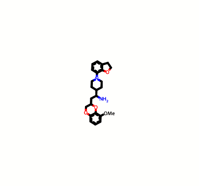 COc1cccc2c1OC(CC(N)C1CCN(c3cccc4c3OCC4)CC1)CO2